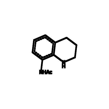 CC(=O)Nc1cccc2c1NCCC2